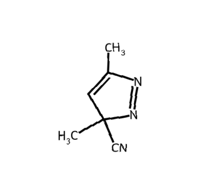 CC1=CC(C)(C#N)N=N1